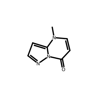 Cn1ccc(=O)n2nccc12